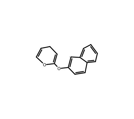 [c]1c(OC2=CCC=CO2)ccc2ccccc12